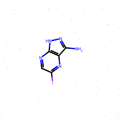 Nc1n[nH]c2ncc(I)nc12